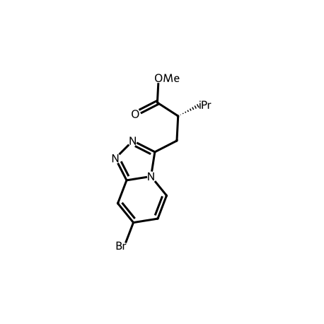 COC(=O)[C@@H](Cc1nnc2cc(Br)ccn12)C(C)C